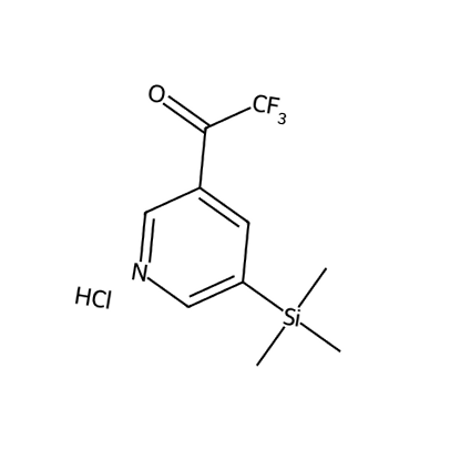 C[Si](C)(C)c1cncc(C(=O)C(F)(F)F)c1.Cl